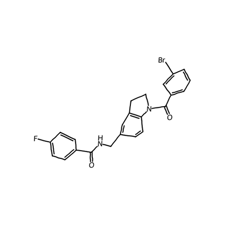 O=C(NCc1ccc2c(c1)CCN2C(=O)c1cccc(Br)c1)c1ccc(F)cc1